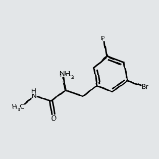 CNC(=O)C(N)Cc1cc(F)cc(Br)c1